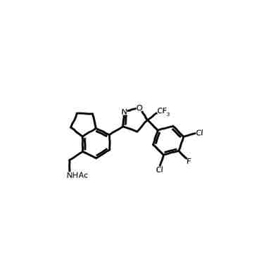 CC(=O)NCc1ccc(C2=NOC(c3cc(Cl)c(F)c(Cl)c3)(C(F)(F)F)C2)c2c1CCC2